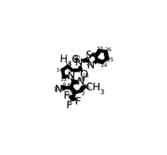 Cc1cc(C(F)(F)F)c(C#N)c(N2CCCC2C(=O)N(C)c2nc3ccccc3s2)n1